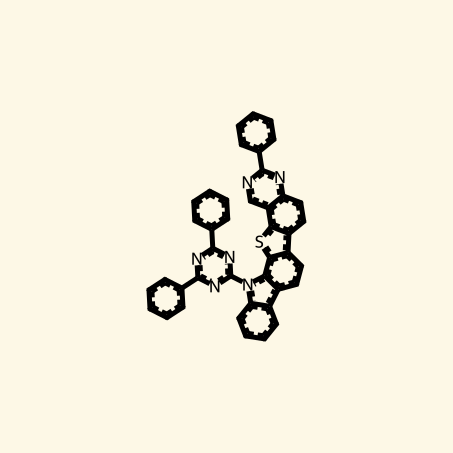 c1ccc(-c2nc(-c3ccccc3)nc(-n3c4ccccc4c4ccc5c6ccc7nc(-c8ccccc8)ncc7c6sc5c43)n2)cc1